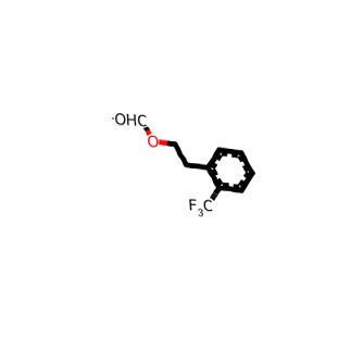 O=[C]OCCc1ccccc1C(F)(F)F